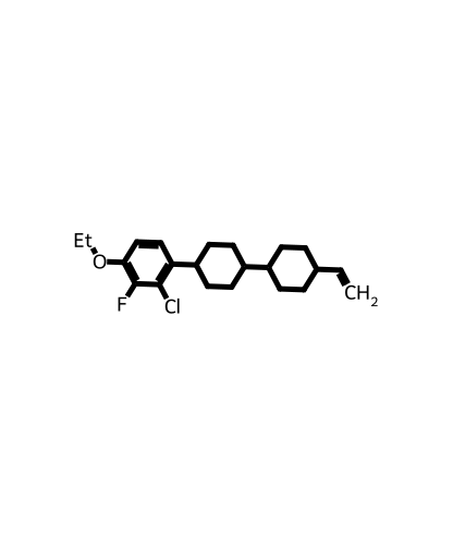 C=CC1CCC(C2CCC(c3ccc(OCC)c(F)c3Cl)CC2)CC1